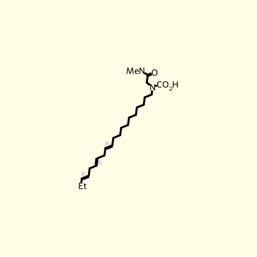 CC/C=C/C/C=C/C/C=C/CCCCCCCCCCN(CC(=O)NC)C(=O)O